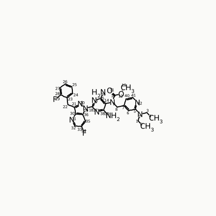 CCN(CC)c1cc(CN(C(=O)OC)c2c(N)nc(-n3nc(Cc4ccccc4F)c4ncc(F)cc43)nc2N)ccn1